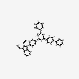 C=Cc1c(C=N)c2ccccc2n1-c1ccc(C2=CC(c3ccc(-c4ccccc4)cc3)=CC(C3C=CC=CN3)N2)cc1